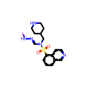 O=S(=O)(c1cccc2cnccc12)N(C=NNI)CC1CCNCC1